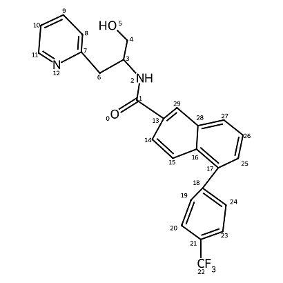 O=C(NC(CO)Cc1ccccn1)c1ccc2c(-c3ccc(C(F)(F)F)cc3)cccc2c1